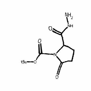 CC(C)(C)OC(=O)N1C(=O)CCC1C(=O)NN